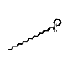 CCCCCCCCCCCCCC=CC=CC(=O)N1CCCCC1